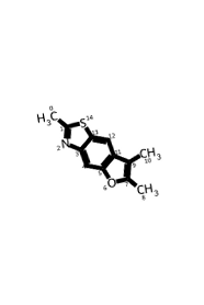 Cc1nc2cc3oc(C)c(C)c3cc2s1